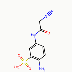 N#[N+]CC(=O)Nc1ccc(N)c(S(=O)(=O)O)c1